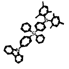 Cc1cc(C)c(B(c2ccc([Si](c3ccccc3)(c3ccccc3)c3ccc(-n4c5ccccc5c5ccccc54)cc3)cc2)c2c(C)cc(C)cc2C)c(C)c1